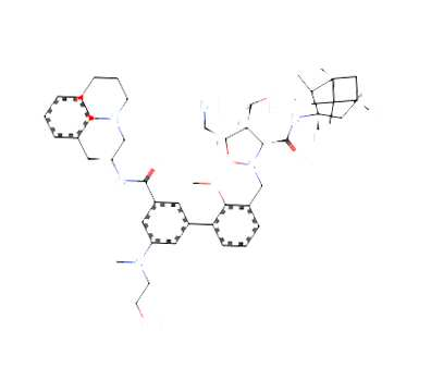 COc1c(CN2O[C@@H](CN)[C@@H]([C@H](C)O)[C@H]2C(=O)N[C@H]2C[C@H]3C[C@@H]([C@@H]2C)C3(C)C)cccc1-c1cc(C(=O)N[C@@H](Cc2ccccc2)CN2CCCCC2)cc(N(C)CCO)c1